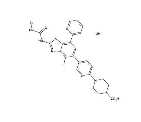 CCNC(=O)Nc1nc2c(F)c(-c3cnc(N4CCC(C(=O)O)CC4)nc3)cc(-c3ccccn3)c2s1.[LiH]